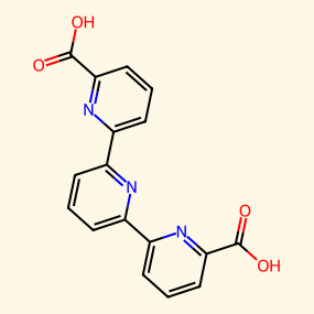 O=C(O)c1cccc(-c2cccc(-c3cccc(C(=O)O)n3)n2)n1